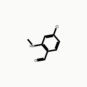 CNc1cc(Cl)ccc1C=O